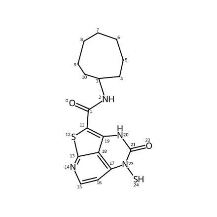 O=C(NC1CCCCCCC1)c1sc2nccc3c2c1NC(=O)N3S